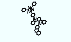 c1ccc(-c2nc(-c3ccccc3)nc(-c3ccc(-n4c5ccccc5c5c4ccc4c6ccccc6n(-c6ccc7sc8ccccc8c7c6)c45)cc3)n2)cc1